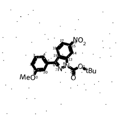 COc1cccc(-c2nn(C(=O)OC(C)(C)C)c3cc([N+](=O)[O-])ccc23)c1